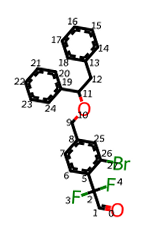 O=CC(F)(F)c1ccc(COC(Cc2ccccc2)c2ccccc2)cc1Br